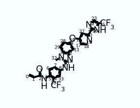 C=CC(=O)Nc1ccc(Nc2nc3cc(Oc4ccnc(-c5ncc(C(F)(F)F)[nH]5)c4)ccc3n2C)cc1C(F)(F)F